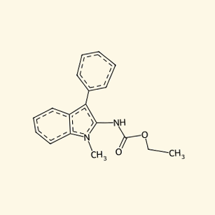 CCOC(=O)Nc1c(-c2ccccc2)c2ccccc2n1C